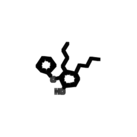 CCCCc1ccc(O)c(Oc2ccccc2)c1CCCC